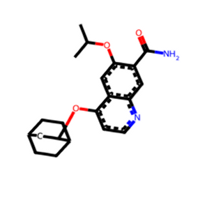 CC(C)Oc1cc2c(OC3CC4CCC3CC4)ccnc2cc1C(N)=O